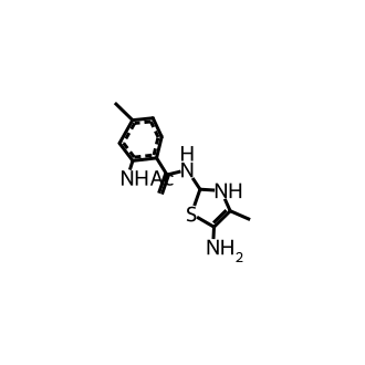 C=C(NC1NC(C)=C(N)S1)c1ccc(C)cc1NC(C)=O